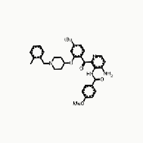 COc1ccc(C(=O)Nc2c(N)ccnc2C(=O)c2ccc(C(C)(C)C)cc2OC2CCN(Cc3ccccc3C)CC2)cc1